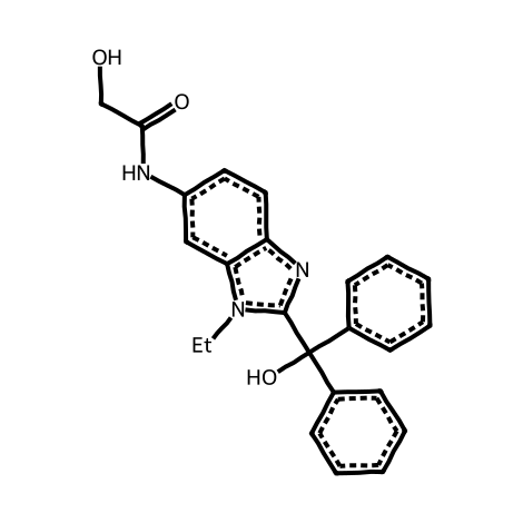 CCn1c(C(O)(c2ccccc2)c2ccccc2)nc2ccc(NC(=O)CO)cc21